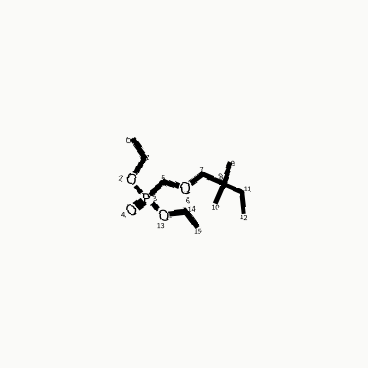 CCOP(=O)(COCC(C)(C)CC)OCC